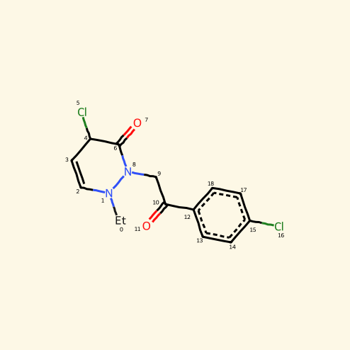 CCN1C=CC(Cl)C(=O)N1CC(=O)c1ccc(Cl)cc1